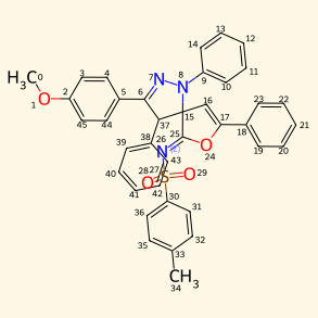 COc1ccc(C2=NN(c3ccccc3)C3(C=C(c4ccccc4)O/C3=N\S(=O)(=O)c3ccc(C)cc3)C2c2ccccc2)cc1